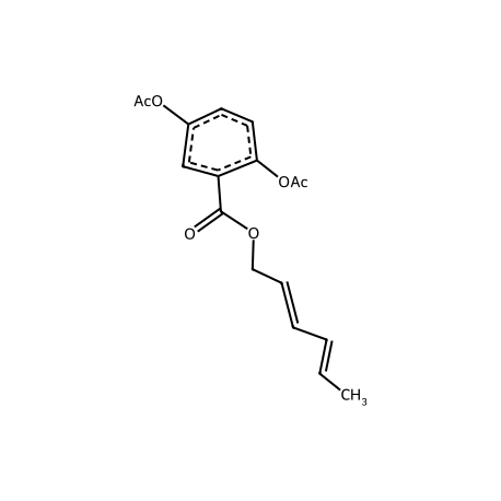 CC=CC=CCOC(=O)c1cc(OC(C)=O)ccc1OC(C)=O